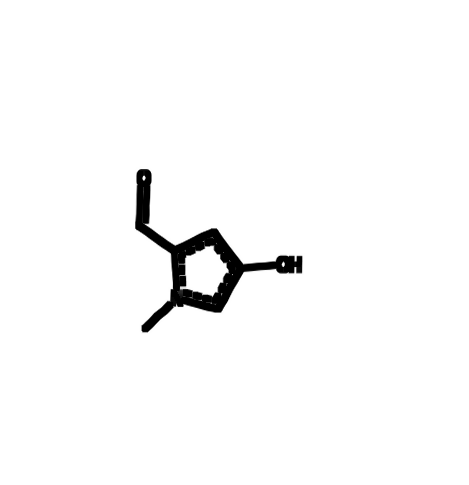 Cn1cc(O)cc1C=O